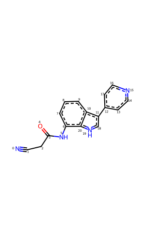 N#CCC(=O)Nc1cccc2c(-c3ccncc3)c[nH]c12